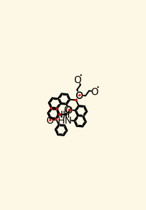 COCCOCc1ccc2cccc(NC(=O)c3ccccc3)c2c1Oc1c(COCCOC)ccc2cccc(NC(=O)c3ccccc3)c12